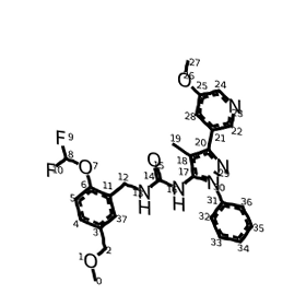 COCc1ccc(OC(F)F)c(CNC(=O)Nc2c(C)c(-c3cncc(OC)c3)nn2-c2ccccc2)c1